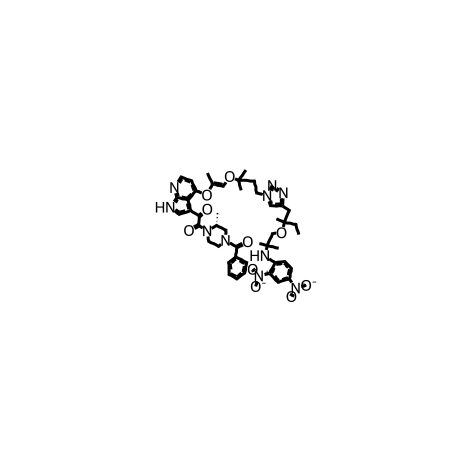 CCC(C)(Cc1cn(CCC(C)(C)O/C=C(\C)Oc2ccnc3[nH]cc(C(=O)C(=O)N4CCN(C(=O)c5ccccc5)C[C@H]4C)c23)nn1)OCC(C)(C)Nc1ccc([N+](=O)[O-])cc1[N+](=O)[O-]